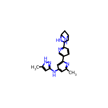 Cc1cc(Nc2cc(C)[nH]n2)cc(-c2ccc(C3CC4CC(N4)N3)nc2)n1